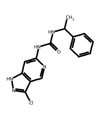 CC(NC(=O)Nc1cc2[nH]nc(Cl)c2cn1)c1ccccc1